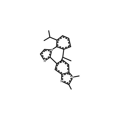 Cc1nc2cc(-c3nccn3-c3c(C(C)C)cccc3C(C)C)ccc2n1C